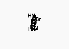 Fc1ccc(Oc2c(F)cc3[nH]ccc3c2Br)cc1-c1ncc[nH]1